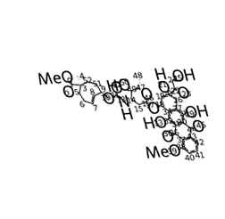 COC(=O)[C@]1(C)CC/C=C/[C@H](OC(=O)N[C@H]2CC(O[C@H]3C[C@](O)(C(=O)CO)Cc4c(O)c5c(c(O)c43)C(=O)c3c(OC)cccc3C5=O)O[C@@H](C)[C@H]2O)CC1